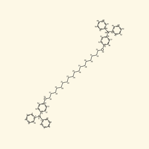 c1ccc(N(c2ccccc2)c2ccc(OCCCCCCCCCCCCCCCCCCOc3ccc(N(c4ccccc4)c4ccccc4)cc3)cc2)cc1